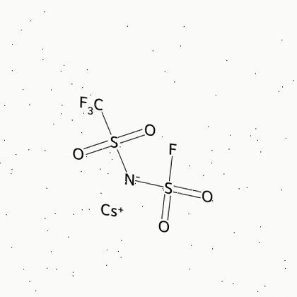 O=S(=O)(F)[N-]S(=O)(=O)C(F)(F)F.[Cs+]